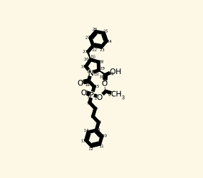 CCOP(=O)(CCCCc1ccccc1)CC(=O)N1C[C@@H](Cc2ccccc2)C[C@H]1C(=O)O